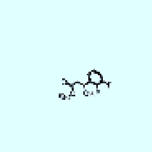 CC(C)(C)OC(=O)CC(O)c1cccc(F)c1F